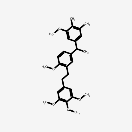 COc1ccc(C(C)c2cc(C)c(C)c(OC)c2)cc1CCc1cc(OC)c(OC)c(OC)c1